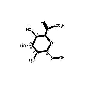 C=C(C(=O)O)C1O[C@H](CO)[C@@H](O)[C@H](O)[C@H]1O